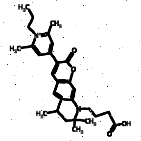 CCC[n+]1c(C)cc(-c2cc3cc4c(cc3oc2=O)N(CCCC(=O)O)C(C)(C)CC4C)cc1C